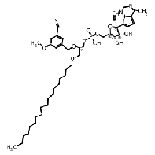 C#C[C@@]1(c2ccc3c(C)ncnn23)O[C@H](COP(=O)(O)OC[C@@H](COCCCCCCCCCCCCCCCCCC)OCc2cc(C#N)cc(OC)c2)[C@@H](O)[C@H]1O